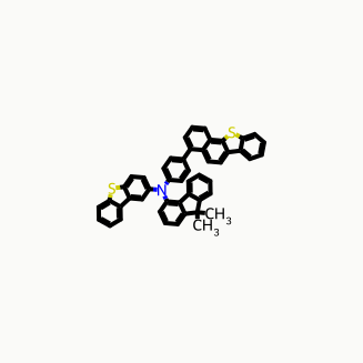 CC1(C)c2ccccc2-c2c(N(c3ccc(-c4cccc5c4ccc4c6ccccc6sc54)cc3)c3ccc4sc5ccccc5c4c3)cccc21